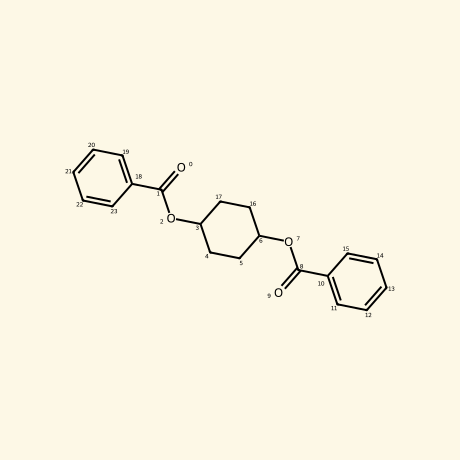 O=C(OC1CCC(OC(=O)c2ccccc2)CC1)c1ccccc1